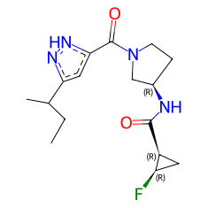 CCC(C)c1cc(C(=O)N2CC[C@@H](NC(=O)[C@H]3C[C@H]3F)C2)[nH]n1